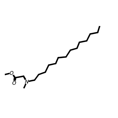 CCCCCCCCCCCCCCN(C)CC(=O)OC